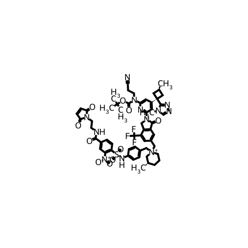 C[C@H]1CCC[N+](Cc2ccc(NS(=O)(=O)c3ccc(C(=O)NCCN4C(=O)C=CC4=O)cc3[N+](=O)[O-])cc2)(Cc2cc3c(c(C(F)(F)F)c2)CN(c2cc([C@]4(c5nncn5C)C[C@@H](C)C4)cc(N(CCC#N)C(=O)OC(C)(C)C)n2)C3=O)C1